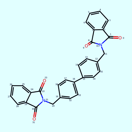 O=C1c2ccccc2C(=O)N1Cc1ccc(-c2ccc(CN3C(=O)c4ccccc4C3=O)cc2)cc1